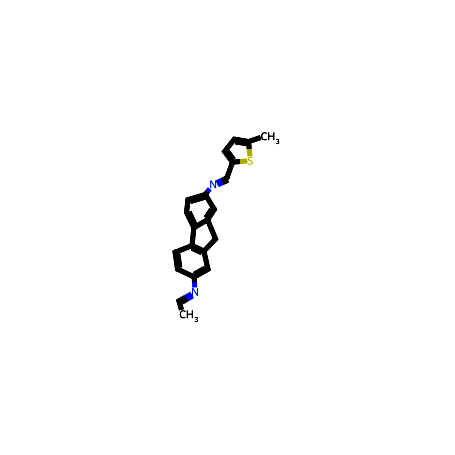 CC=Nc1ccc2c(c1)Cc1cc(N=Cc3ccc(C)s3)ccc1-2